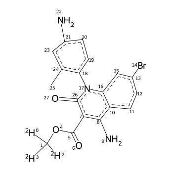 [2H]C([2H])([2H])OC(=O)c1c(N)c2ccc(Br)cc2n(-c2ccc(N)cc2C)c1=O